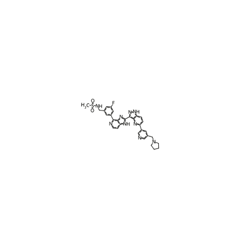 CS(=O)(=O)NCc1cc(F)cc(-c2nccc3[nH]c(-c4n[nH]c5ccc(-c6cncc(CN7CCCC7)c6)nc45)nc23)c1